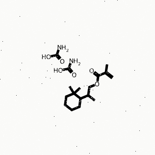 C=C(C)C(=O)OCC(C)C1CCCCC1(C)C.NC(=O)O.NC(=O)O